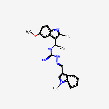 COc1ccc2[nH]c(C)c(C(C)NC(=N)N/N=C/c3cn(C)c4ccccc34)c2c1